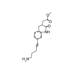 COC(=O)CC1Cc2ccc(C#CCCCN)cc2NC1=O